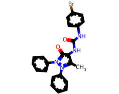 Cc1c(NC(=O)Nc2ccc(Br)cc2)c(=O)n(-c2ccccc2)n1-c1ccccc1